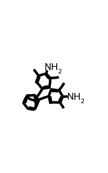 Cc1cc(C2(c3cc(C)c(N)c(C)c3)Cc3ccc(cc3)C2)cc(C)c1N